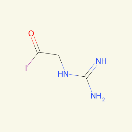 N=C(N)NCC(=O)I